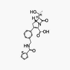 C[C@@H](O)[C@H]1C(=O)N2C(C(=O)O)=C(c3cccc(CNC(=O)c4cccs4)c3)C[C@H]12